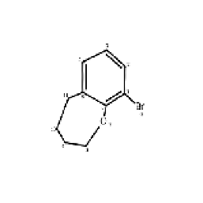 Brc1cccc2c1OCCCC2